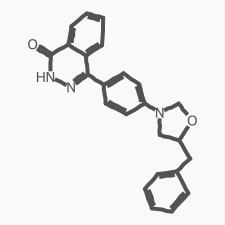 O=c1[nH]nc(-c2ccc(N3COC(Cc4ccccc4)C3)cc2)c2ccccc12